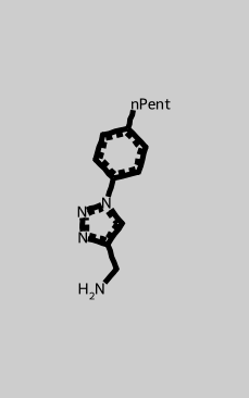 CCCCCc1ccc(-n2cc(CN)nn2)cc1